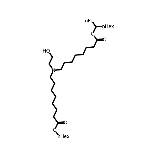 CCCCCCOC(=O)CCCCCCCN(CCO)CCCCCCCC(=O)OC(CCC)CCCCCC